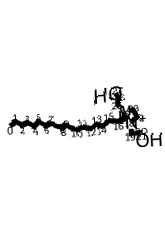 CCCCCCCCC=CCCCCCCCC1=[N+](CCO)CCN1CCO